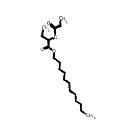 CCCCCCCCCCCCOC(=O)C(CC)OC(=O)CC